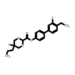 CCCC1(F)COC(C(=O)Oc2ccc(-c3ccc(CC)c(F)c3)cc2)OC1